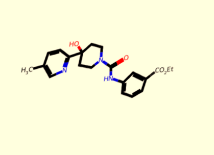 CCOC(=O)c1cccc(NC(=O)N2CCC(O)(c3ccc(C)cn3)CC2)c1